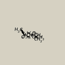 CC#CC(=O)N1CCN(C(=O)OC(C)(C)C)CC1